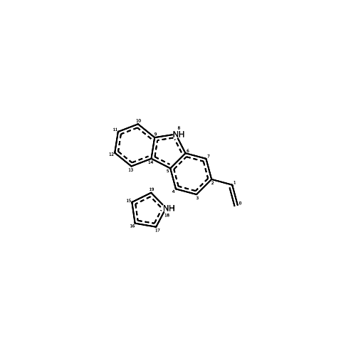 C=Cc1ccc2c(c1)[nH]c1ccccc12.c1cc[nH]c1